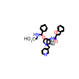 O=C(N[C@@H]1C2CCN(CC2)[C@H]1Cc1cccnc1)c1cc2ccccc2o1.O=C(O)CNC(=O)c1ccccc1